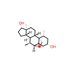 C[C@H]1[C@H]2[C@@H]3CC[C@H](O)[C@@]3(C)CC[C@@H]2[C@]23CO[C@H]1[C@@]2(Br)C[C@@H](O)C[C@H]3C